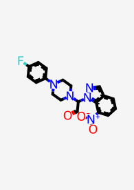 O=CC(N1CCN(c2ccc(F)cc2)CC1)n1ncc2cccc([N+](=O)[O-])c21